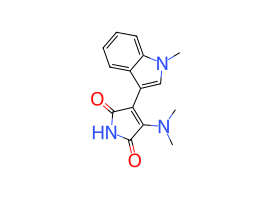 CN(C)C1=C(c2cn(C)c3ccccc23)C(=O)NC1=O